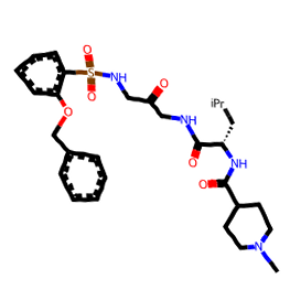 CC(C)C[C@H](NC(=O)C1CCN(C)CC1)C(=O)NCC(=O)CNS(=O)(=O)c1ccccc1OCc1ccccc1